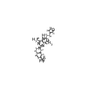 Cc1nc(N2CCc3ccc(C(F)(F)F)cc3C2)nc(C)c1NC(=O)CCc1ccoc1